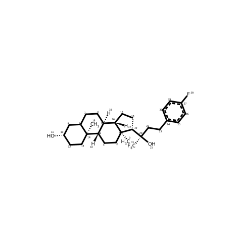 C[C@]12CC[C@H]3[C@@H](CCC4C[C@@H](O)CC[C@@]43C)[C@@H]1CC[C@@H]2[C@](O)(CCc1ccc(F)cc1)C(F)(F)F